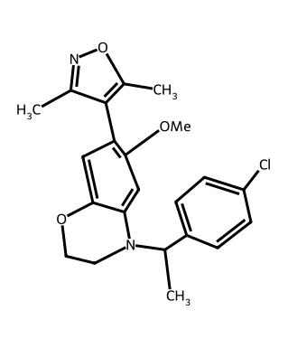 COc1cc2c(cc1-c1c(C)noc1C)OCCN2C(C)c1ccc(Cl)cc1